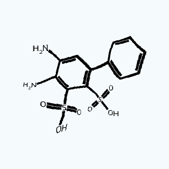 Nc1cc(-c2ccccc2)c(S(=O)(=O)O)c(S(=O)(=O)O)c1N